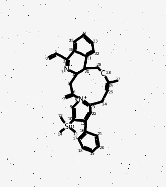 C=CC1=NC2CC(=C)[n+]3cc([Si](C)(C)C)c(-c4ccccc4)cc3CC=C(C)CCC2c2ccccc21